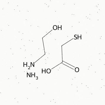 N.NCCO.O=C(O)CS